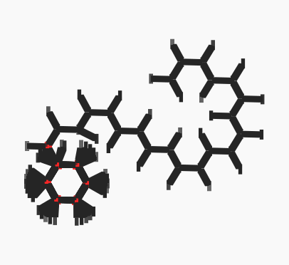 II(I)I(I)I(I)I(I)I(I)I(I)I(I)I(I)I(I)I(I)I(I)I(I)I(I)I(I)I(I)I(I)I(I)I(I)I(I)I(I)I(I)I(I)I(I)I(I)I(I)I(I)I(I)I(I)I(I)I(I)I(I)I(I)I(I)I(I)I(I)I(I)I(I)I(I)I(I)I(I)I(I)I(I)I(I)I(I)I(I)I(I)I(I)I(I)I(I)I(I)I(I)I(I)I(I)I